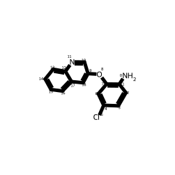 Nc1ccc(Cl)cc1Oc1cnc2ccccc2c1